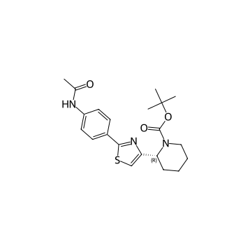 CC(=O)Nc1ccc(-c2nc([C@H]3CCCCN3C(=O)OC(C)(C)C)cs2)cc1